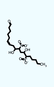 CCCCCC(C(O)CC(C(O)C/C=C\CCCC[C]=O)[N+](=O)[O-])[N+](=O)[O-]